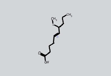 CCCC(/C=C/CCCC(=O)O)SC